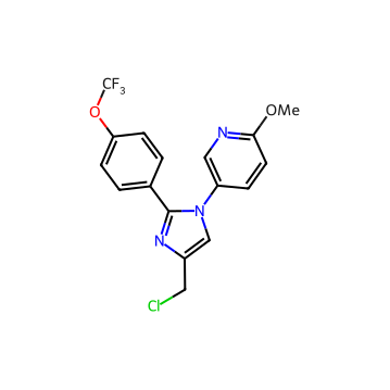 COc1ccc(-n2cc(CCl)nc2-c2ccc(OC(F)(F)F)cc2)cn1